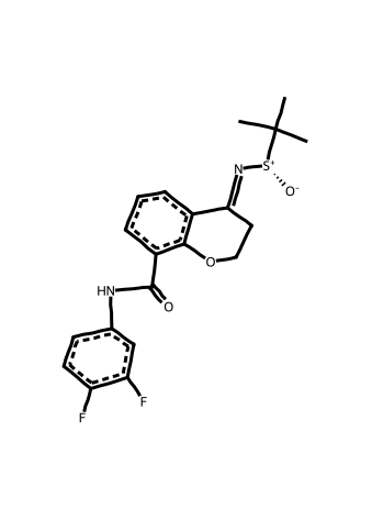 CC(C)(C)[S@+]([O-])N=C1CCOc2c(C(=O)Nc3ccc(F)c(F)c3)cccc21